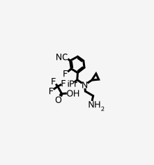 CC(C)C(c1cccc(C#N)c1F)N(CCN)C1CC1.O=C(O)C(F)(F)F